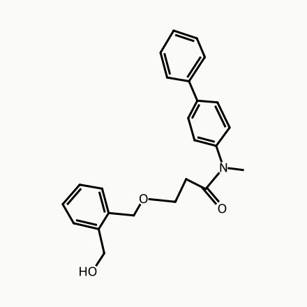 CN(C(=O)CCOCc1ccccc1CO)c1ccc(-c2ccccc2)cc1